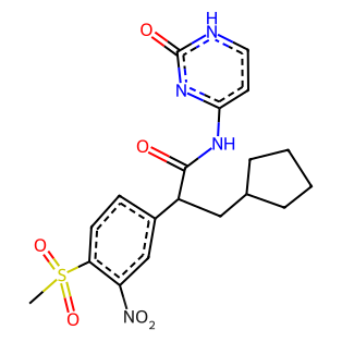 CS(=O)(=O)c1ccc(C(CC2CCCC2)C(=O)Nc2cc[nH]c(=O)n2)cc1[N+](=O)[O-]